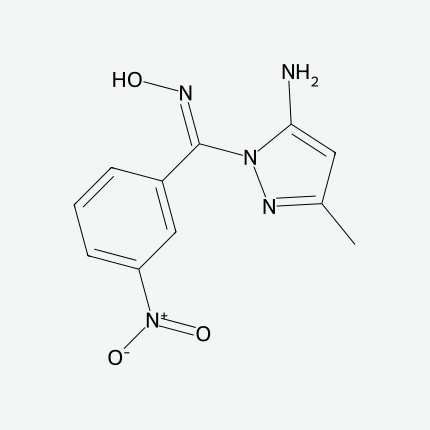 Cc1cc(N)n(/C(=N/O)c2cccc([N+](=O)[O-])c2)n1